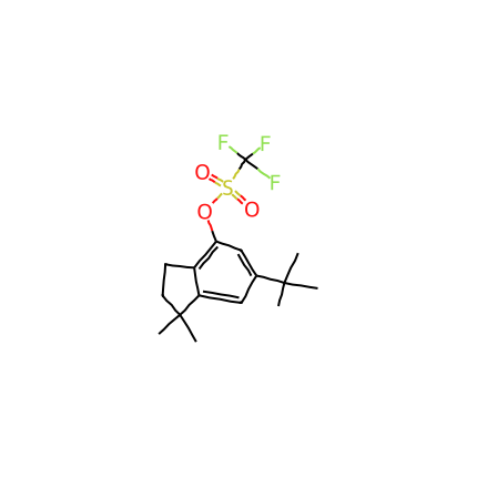 CC(C)(C)c1cc(OS(=O)(=O)C(F)(F)F)c2c(c1)C(C)(C)CC2